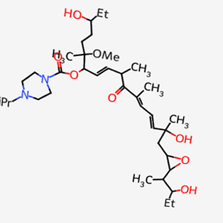 CCC(O)CCC(C)(OC)C(/C=C/C(C)C(=O)/C(C)=C/C=C/C(C)(O)CC1OC1C(C)C(O)CC)OC(=O)N1CCN(C(C)C)CC1